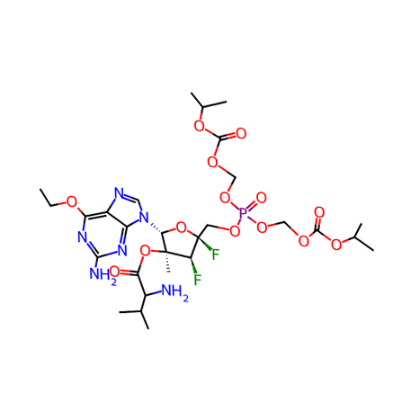 CCOc1nc(N)nc2c1ncn2[C@@H]1O[C@](F)(COP(=O)(OCOC(=O)OC(C)C)OCOC(=O)OC(C)C)[C@@H](F)[C@@]1(C)OC(=O)C(N)C(C)C